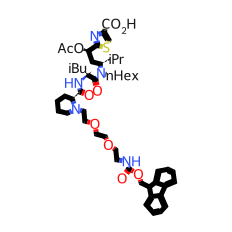 CCCCCCN(C(=O)[C@@H](NC(=O)[C@H]1CCCCN1CCOCCOCCNC(=O)OCC1c2ccccc2-c2ccccc21)[C@@H](C)CC)[C@H](C[C@@H](OC(C)=O)c1nc(C(=O)O)cs1)C(C)C